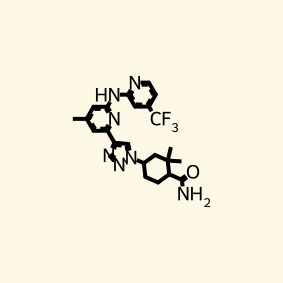 Cc1cc(Nc2cc(C(F)(F)F)ccn2)nc(-c2cn(C3CCC(C(N)=O)C(C)(C)C3)nn2)c1